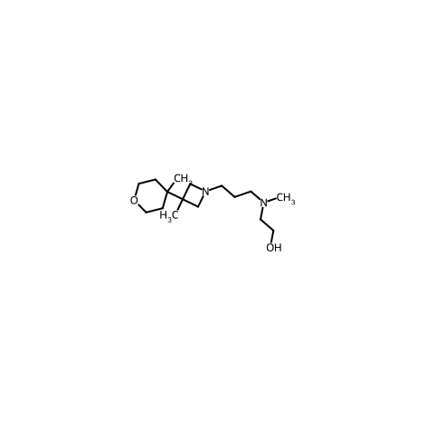 CN(CCO)CCCN1CC(C)(C2(C)CCOCC2)C1